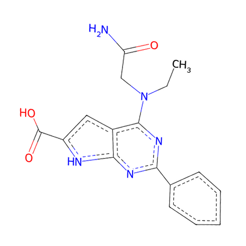 CCN(CC(N)=O)c1nc(-c2ccccc2)nc2[nH]c(C(=O)O)cc12